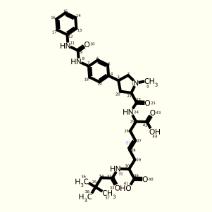 CN1CC(c2ccc(NC(=O)Nc3ccccc3)cc2)CC1C(=O)NC(C/C=C/CC(NC(=O)CC(C)(C)C)C(=O)O)C(=O)O